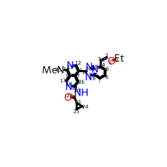 CCO/C=C\c1cccc2nc(-c3cnc(NC)c4cnc(NC(=O)C5CC5)cc34)nn12